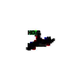 C/C=C1\C[C@H]2C=Nc3cc(OCc4cc(OCCCC(=O)O)cc(COc5cc6c(cc5OC)C(=O)N5C/C(=C/C)C[C@H]5C=N6)n4)c(OC)cc3C(=O)N2C1.Cl